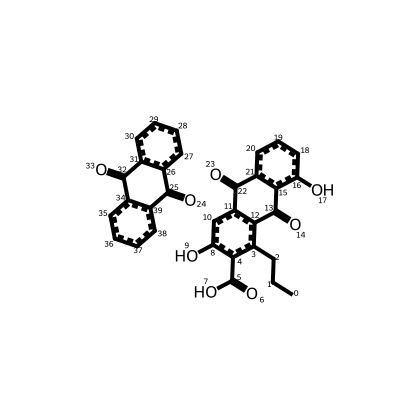 CCCc1c(C(=O)O)c(O)cc2c1C(=O)c1c(O)cccc1C2=O.O=C1c2ccccc2C(=O)c2ccccc21